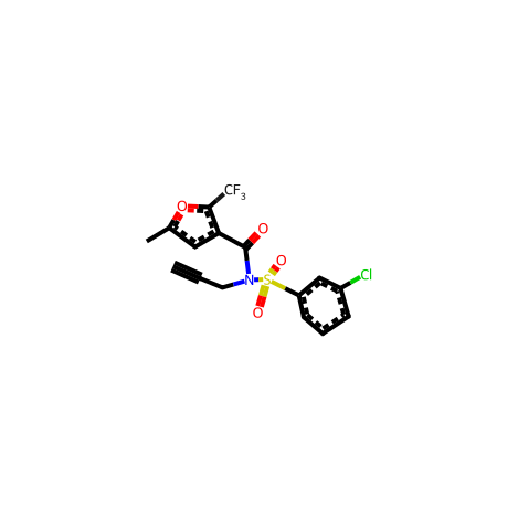 C#CCN(C(=O)c1cc(C)oc1C(F)(F)F)S(=O)(=O)c1cccc(Cl)c1